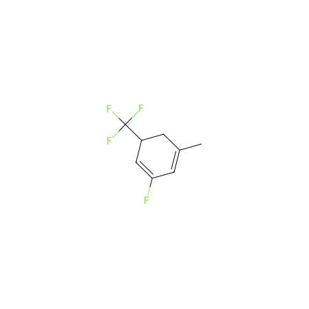 CC1=CC(F)=CC(C(F)(F)F)C1